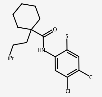 CC(C)CCC1(C(=O)Nc2cc(Cl)c(Cl)cc2[S])CCCCC1